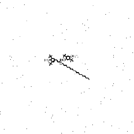 CC(C)(C)c1cc(O)c(C(C)(C)C)cc1O.CCCCCCCCCCCCCCCCCCOC(=O)CCc1cc(C(C)(C)C)c(O)c(C(C)(C)C)c1